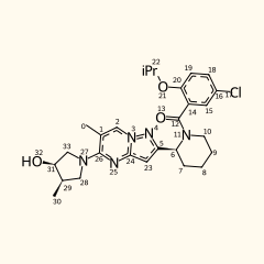 Cc1cn2nc([C@@H]3CCCCN3C(=O)c3cc(Cl)ccc3OC(C)C)cc2nc1N1C[C@@H](C)[C@@H](O)C1